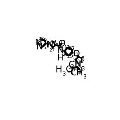 CC(C)(C)C(=O)N1CC[C@@H](Oc2ccc(NC(=O)C3CN(c4ccnnc4)C3)cc2)C1